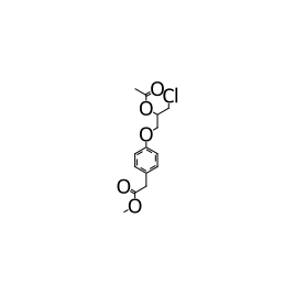 COC(=O)Cc1ccc(OCC(CCl)OC(C)=O)cc1